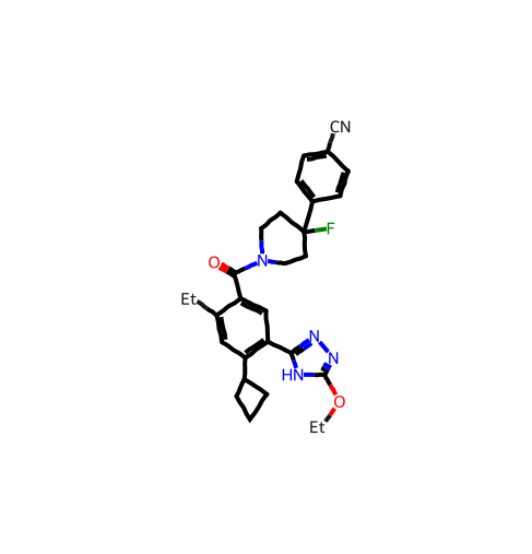 CCOc1nnc(-c2cc(C(=O)N3CCC(F)(c4ccc(C#N)cc4)CC3)c(CC)cc2C2CCC2)[nH]1